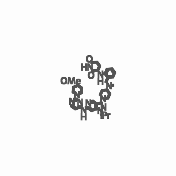 COC1CCN(c2nccc(Nc3cc4c(cn3)c(N3CCC(N(C)Cc5ccccc5NC5CCC(=O)NC5=O)CC3)nn4C(C)C)n2)CC1